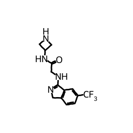 O=C(CNC1=NCc2ccc(C(F)(F)F)cc21)NC1CNC1